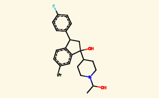 CC(C)c1ccc2c(c1)C(O)(C1CCN(C(C)O)CC1)CC2c1ccc(F)cc1